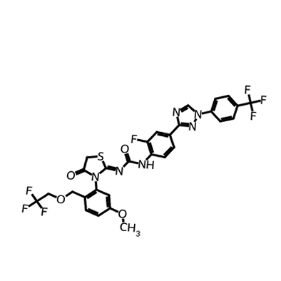 COc1ccc(COCC(F)(F)F)c(N2C(=O)CSC2=NC(=O)Nc2ccc(-c3ncn(-c4ccc(C(F)(F)F)cc4)n3)cc2F)c1